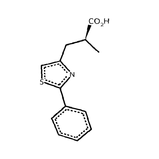 C[C@@H](Cc1csc(-c2ccccc2)n1)C(=O)O